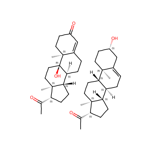 CC(=O)[C@H]1CC[C@H]2[C@@H]3CC=C4C[C@@H](O)CC[C@]4(C)[C@H]3CC[C@]12C.CC(=O)[C@H]1CC[C@H]2[C@@H]3CCC4=CC(=O)CC[C@]4(C)[C@@]3(O)CC[C@]12C